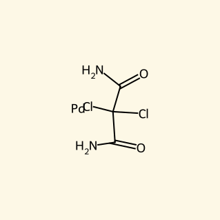 NC(=O)C(Cl)(Cl)C(N)=O.[Pd]